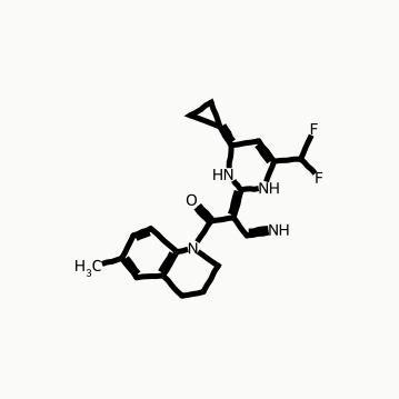 Cc1ccc2c(c1)CCCN2C(=O)/C(C=N)=C1/NC(C(F)F)=CC(=C2CC2)N1